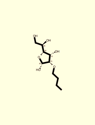 CCCCO[C@H]1[C@@H](O)[C@@H]([C@H](O)CO)O[C@H]1O